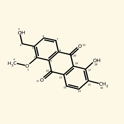 COc1c(CO)ccc2c1C(=O)c1ccc(C)c(O)c1C2=O